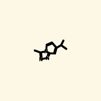 Cc1nnc2cc(C(C)C)ccn12